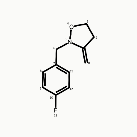 C=C1CCON1Cc1ccc(F)cc1